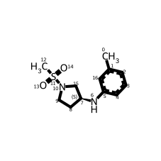 Cc1cccc(N[C@H]2CCN(S(C)(=O)=O)C2)c1